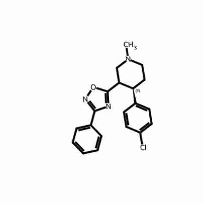 CN1CC[C@@H](c2ccc(Cl)cc2)C(c2nc(-c3ccccc3)no2)C1